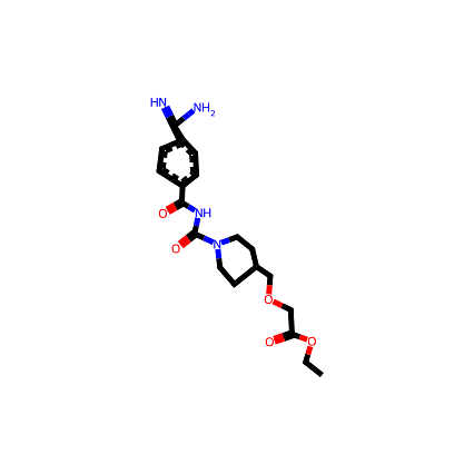 CCOC(=O)COCC1CCN(C(=O)NC(=O)c2ccc(C(=N)N)cc2)CC1